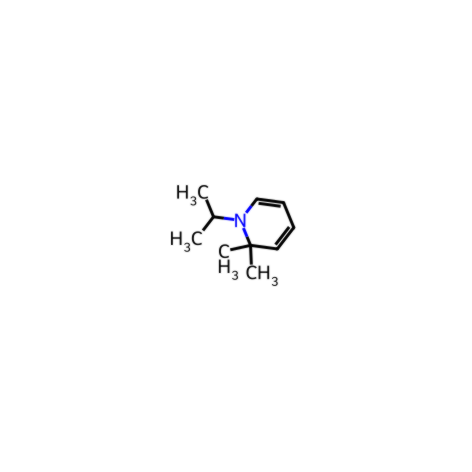 CC(C)N1C=CC=CC1(C)C